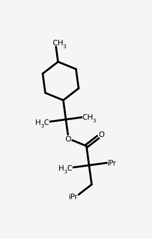 CC(C)CC(C)(C(=O)OC(C)(C)C1CCC(C)CC1)C(C)C